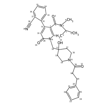 CC(C)N(C)C(=O)c1cn(CC2(O)CCN(C(=O)CCc3ccccc3)CC2)c(=O)cc1-c1ccccc1C#N